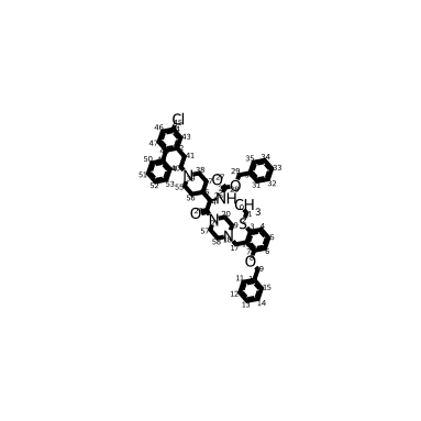 CCSc1cccc(OCc2ccccc2)c1CN1CCN(C(=O)[C@H](NC(=O)OCc2ccccc2)C2CCN(CCc3cc(Cl)ccc3-c3ccccc3)CC2)CC1